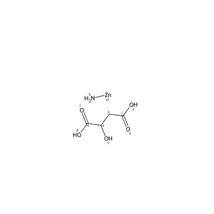 O=C(O)CC(O)C(=O)O.[NH2][Zn]